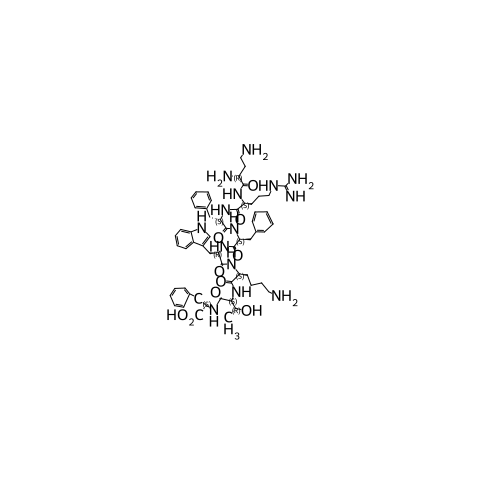 C[C@@H](O)[C@H](NC(=O)[C@H](CCCCN)NC(=O)[C@@H](Cc1c[nH]c2ccccc12)NC(=O)[C@H](Cc1ccccc1)NC(=O)[C@H](Cc1ccccc1)NC(=O)[C@H](CCCNC(=N)N)NC(=O)[C@H](N)CCN)C(=O)N[C@@H](Cc1ccccc1)C(=O)O